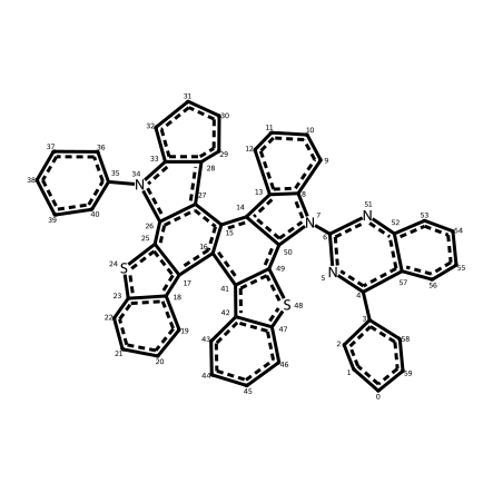 c1ccc(-c2nc(-n3c4ccccc4c4c5c(c6c7ccccc7sc6c6c5c5ccccc5n6-c5ccccc5)c5c6ccccc6sc5c43)nc3ccccc23)cc1